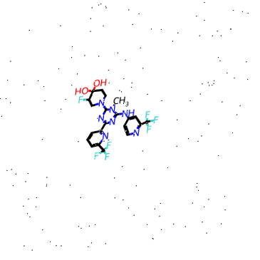 CN1C(Nc2ccnc(C(F)(F)F)c2)=NC(c2cccc(C(F)(F)F)n2)=NC1N1CCC(O)(O)C(F)C1